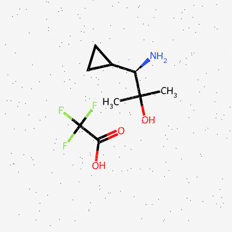 CC(C)(O)[C@H](N)C1CC1.O=C(O)C(F)(F)F